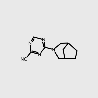 N#Cc1ncnc(N2CC3CCC(C3)C2)n1